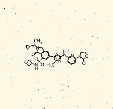 Cc1nc(Nc2cccc(N3CCOC3=O)n2)sc1-c1cc2c(c(S(=O)(=O)NC3COC3)c1)C(=O)N([C@@H](C)C1CC1)C2